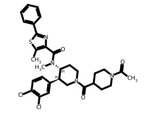 CC(=O)N1CCC(C(=O)N2CC[C@@H](N(C)C(=O)c3nc(-c4ccccc4)sc3C)[C@H](c3ccc(Cl)c(Cl)c3)C2)CC1